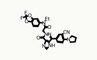 CCN(C(=O)Cn1nc(-c2ccc(N3CCCC3)c(C#N)c2)c2[nH]cnc2c1=O)c1ccc2c(c1)OC(F)(F)O2